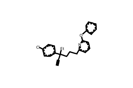 C#CC(CC)(CCCc1cccc(Oc2ccccc2)n1)c1ccc(Cl)cc1